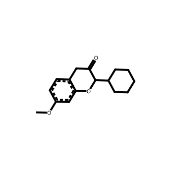 COc1ccc2c(c1)OC(C1CCCCC1)C(=O)C2